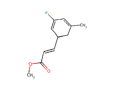 COC(=O)C=CC1C=C(F)C=C(C)C1